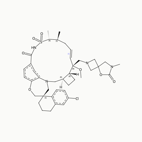 CO[C@@]1(CN2CC3(C2)CN(C)C(=O)O3)/C=C/C[C@H](C)[C@@H](C)S(=O)(=O)NC(=O)c2ccc3c(c2)N(C[C@@H]2CC[C@H]21)C[C@@]1(CCCc2cc(Cl)ccc21)CO3